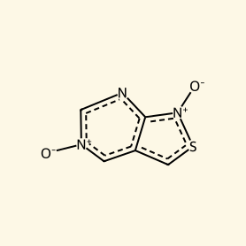 [O-][n+]1cnc2c(cs[n+]2[O-])c1